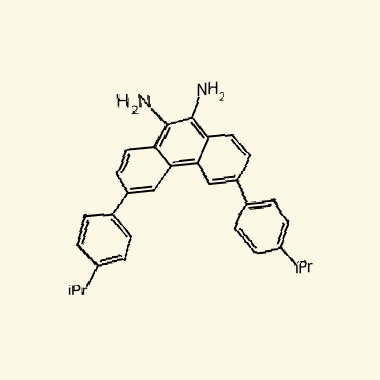 CC(C)c1ccc(-c2ccc3c(N)c(N)c4ccc(-c5ccc(C(C)C)cc5)cc4c3c2)cc1